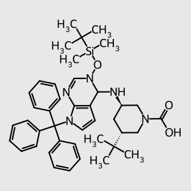 CC(C)(C)[C@@H]1C[C@@H](NC2c3ccn(C(c4ccccc4)(c4ccccc4)c4ccccc4)c3N=CN2O[Si](C)(C)C(C)(C)C)CN(C(=O)O)C1